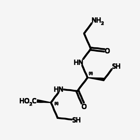 NCC(=O)N[C@@H](CS)C(=O)N[C@@H](CS)C(=O)O